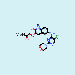 CNC(=O)COc1cc2cc(Nc3nc(N4CCOCC4)ncc3Cl)ccc2n(C)c1=O